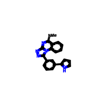 CNc1nc2nnc(-c3cccc(-c4ccc[nH]4)c3)n2c2ccccc12